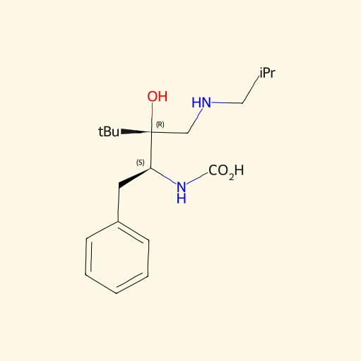 CC(C)CNC[C@@](O)([C@H](Cc1ccccc1)NC(=O)O)C(C)(C)C